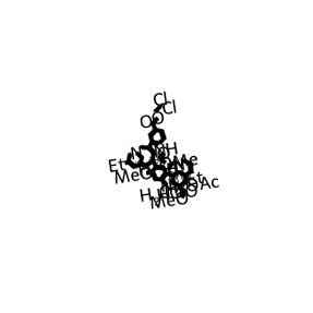 CCC1=C[C@H]2CN(C1)Cc1c([nH]c3ccc(C(=O)OCC(Cl)Cl)cc13)[C@@](C(=O)OC)(c1cc3c(cc1OC)N(C)[C@H]1[C@@](O)(C(=O)OC)[C@H](OC(C)=O)[C@]4(CC)C=CCN5CC[C@]31[C@@H]54)C2